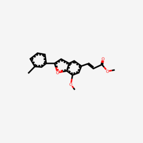 COC(=O)/C=C/c1cc(OC)c2oc(-c3cccc(C)c3)cc2c1